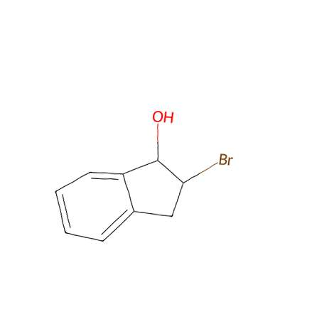 OC1c2ccccc2CC1Br